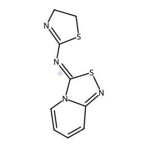 c1ccn2/c(=N/C3=NCCS3)snc2c1